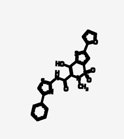 CN1C(C(=O)Nc2nc(-c3ccccc3)cs2)=C(O)c2sc(-c3ccco3)cc2S1(=O)=O